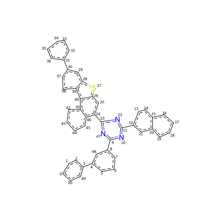 c1ccc(-c2cccc(-c3nc(-c4ccc5ccccc5c4)nc(-c4cc5sc6cc(-c7ccccc7)ccc6c5c5ccccc45)n3)c2)cc1